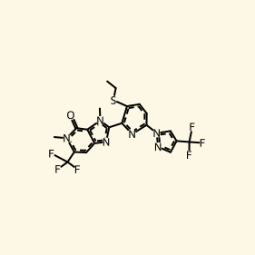 CCSc1ccc(-n2cc(C(F)(F)F)cn2)nc1-c1nc2cc(C(F)(F)F)n(C)c(=O)c2n1C